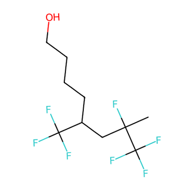 CC(F)(CC(CCCCO)C(F)(F)F)C(F)(F)F